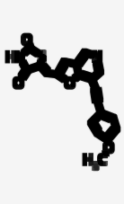 COc1ccc(C#Cc2cncc3cc(/C=C4\SC(=O)NC4=O)oc23)cc1